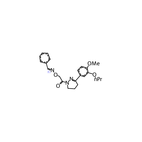 CCCOc1cc(C2=NN(C(=O)CO/N=C/c3ccccc3)CCC2)ccc1OC